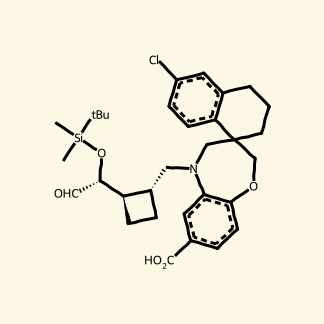 CC(C)(C)[Si](C)(C)O[C@@H](C=O)[C@@H]1CC[C@H]1CN1CC2(CCCc3cc(Cl)ccc32)COc2ccc(C(=O)O)cc21